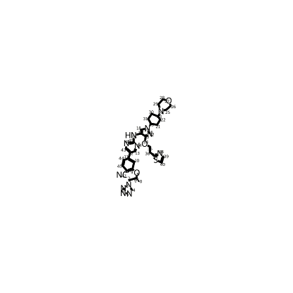 C[C@@H](Cn1cnnn1)Oc1cc(-c2cnc(Nc3cn(C4CCC(N5CCOCC5)CC4)nc3OCCc3nccs3)nc2)ccc1C#N